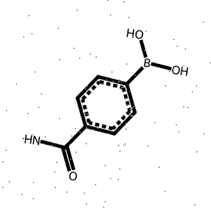 [NH]C(=O)c1ccc(B(O)O)cc1